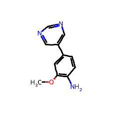 COc1cc(-c2cncnc2)ccc1N